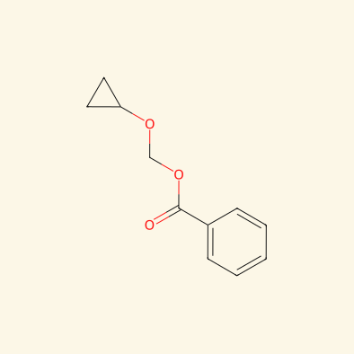 O=C(OCOC1CC1)c1ccccc1